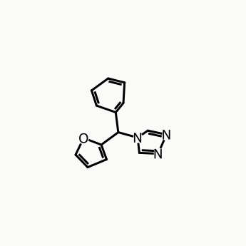 c1ccc(C(c2ccco2)n2cnnc2)cc1